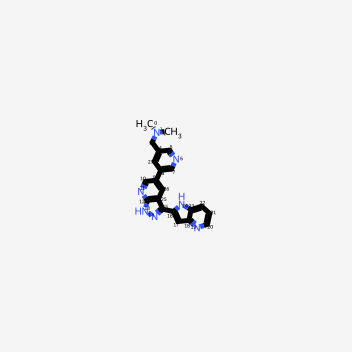 CN(C)Cc1cncc(-c2cnc3[nH]nc(-c4cc5ncccc5[nH]4)c3c2)c1